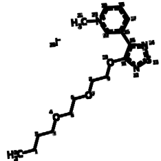 CCCCOCCOCCOc1nsnc1-c1ccc[n+](C)c1.[I-]